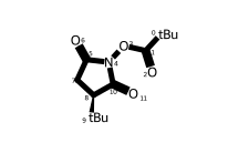 CC(C)(C)C(=O)ON1C(=O)C[C@H](C(C)(C)C)C1=O